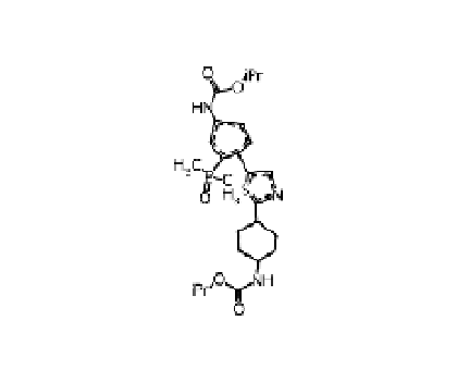 CC(C)OC(=O)Nc1ccc(-c2cnc(C3CCC(NC(=O)OC(C)C)CC3)s2)c(P(C)(C)=O)c1